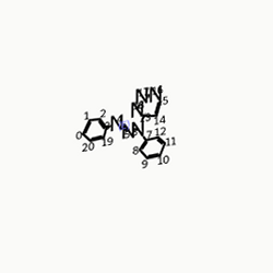 c1ccc(/N=N/N(c2ccccc2)c2ccnnn2)cc1